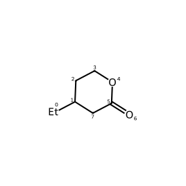 CCC1CCOC(=O)C1